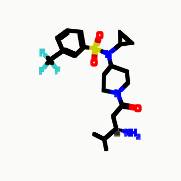 CC(C)[C@@H](N)CC(=O)N1CCC(N(C2CC2)S(=O)(=O)c2cccc(C(F)(F)F)c2)CC1